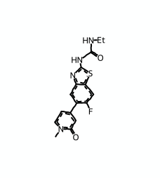 CCNC(=O)Nc1nc2cc(-c3ccn(C)c(=O)c3)c(F)cc2s1